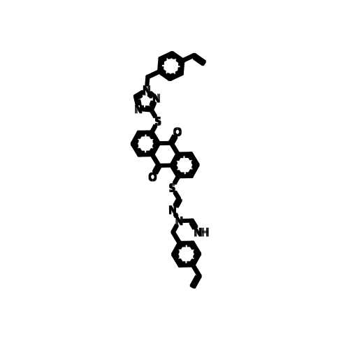 C=Cc1ccc(CN(C=N)/N=C/Sc2cccc3c2C(=O)c2cccc(Sc4ncn(Cc5ccc(C=C)cc5)n4)c2C3=O)cc1